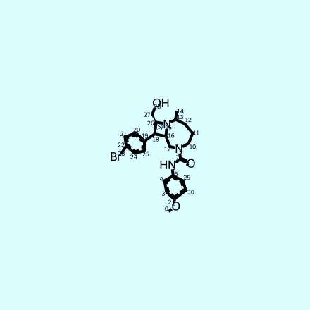 COc1ccc(NC(=O)N2CCCC(C)N3C(C2)C(c2ccc(Br)cc2)[C@H]3CO)cc1